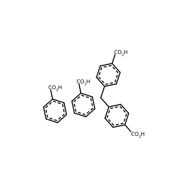 O=C(O)c1ccc(Cc2ccc(C(=O)O)cc2)cc1.O=C(O)c1ccccc1.O=C(O)c1ccccc1